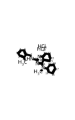 Cc1ccccc1CNc1nc(N(C)c2ccccc2)c2ccccc2n1.Cl.Cl